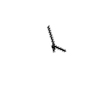 CCCCCCCCCCCCCCCCCn1cc[n+](CCC)c1CCCCCCCCCC